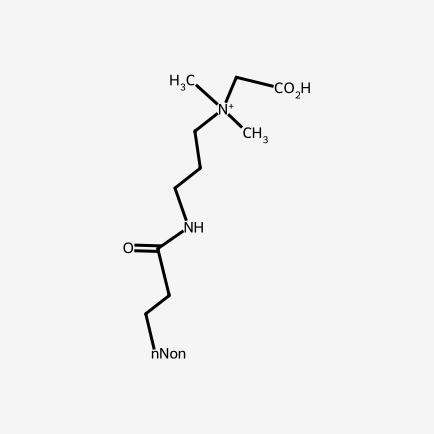 CCCCCCCCCCCC(=O)NCCC[N+](C)(C)CC(=O)O